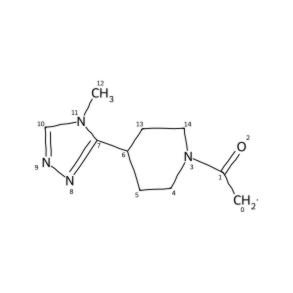 [CH2]C(=O)N1CCC(c2nncn2C)CC1